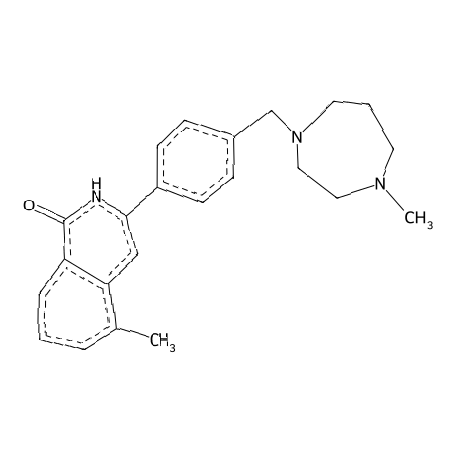 Cc1cccc2c(=O)[nH]c(-c3ccc(CN4CCCN(C)CC4)cc3)cc12